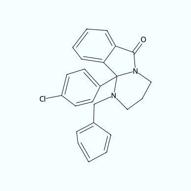 O=C1c2ccccc2C2(c3ccc(Cl)cc3)N(Cc3ccccc3)CCCN12